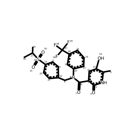 Cc1[nH]c(=O)c(C(=O)N(Cc2ccc(S(=O)(=O)C(C)C)cc2)c2cccc(C(F)(F)F)c2)cc1O